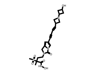 CC(CCN1Cc2cc(C#CC#CC3CN(C4CC(O)C4)C3)cn2C1=O)(C(=O)NO)S(C)(=O)=O